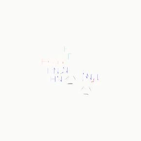 O=c1[nH]nc(-c2ccc3[nH]c(NC(O)OCC(F)F)nc3c2)c2ccccc12